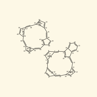 C1=Cc2cc3ccc(cc4nc(cc5ccc(cc1n2)[nH]5)-c1ccccc1-4)[nH]3.C1=Cc2cc3ccc(cc4nc(cc5ccc(cc1n2)[nH]5)C=C4)[nH]3